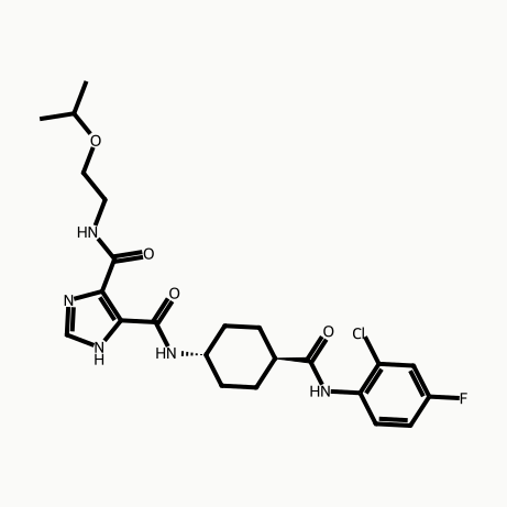 CC(C)OCCNC(=O)c1nc[nH]c1C(=O)N[C@H]1CC[C@H](C(=O)Nc2ccc(F)cc2Cl)CC1